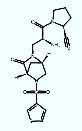 N#C[C@@H]1CCCN1C(=O)[C@@H](N)CN1C(=O)[C@@H]2C[C@H]1CN2S(=O)(=O)c1ccsc1